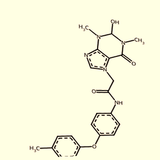 Cc1ccc(Oc2ccc(NC(=O)Cn3cnc4c3C(=O)N(C)C(O)N4C)cc2)cc1